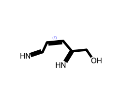 N=C/C=C\C(=N)CO